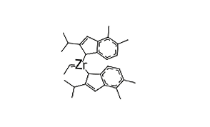 C[CH]=[Zr]([CH]1C(C(C)C)=Cc2c1ccc(C)c2C)[CH]1C(C(C)C)=Cc2c1ccc(C)c2C